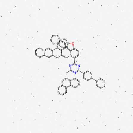 C(=C1\Cc2cc3ccccc3cc2-c2ccccc21)/c1c(-c2nc(Cc3cc4ccccc4c4ccccc34)nc(-c3ccc(-c4ccccc4)cc3)n2)ccc2oc3cc4ccccc4cc3c12